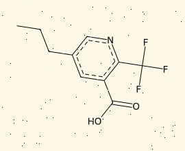 CCCc1cnc(C(F)(F)F)c(C(=O)O)c1